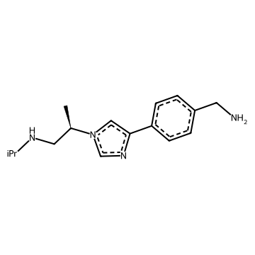 CC(C)NC[C@@H](C)n1cnc(-c2ccc(CN)cc2)c1